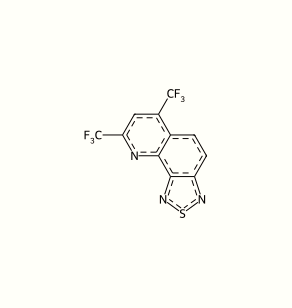 FC(F)(F)c1cc(C(F)(F)F)c2ccc3nsnc3c2n1